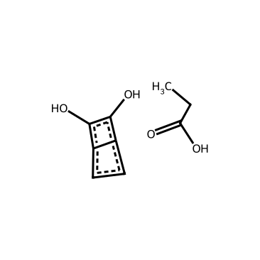 CCC(=O)O.Oc1c2ccc-2c1O